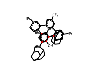 CC(C)c1ccc(-c2cc(C(C)(C)C)cc(C3CC4CC5CCC3C(C5)C4)c2O)c(-c2cc(C(F)(F)F)cc(-c3cc(C(C)C)ccc3-c3cc(C(C)(C)C)cc(C45CC6CC(CC(C6)C4)C5)c3O)n2)c1